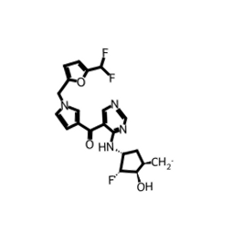 [CH2][C@@H]1C[C@@H](Nc2ncncc2C(=O)c2ccn(Cc3ccc(C(F)F)o3)c2)[C@@H](F)[C@@H]1O